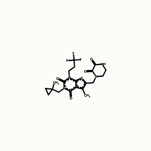 Cc1c(CN2CCNC(=O)C2=O)sc2c1c(=O)n(CC1(C)CC1)c(=O)n2CCC(F)(F)F